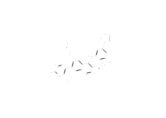 CCCCOc1cc2c(Nc3cc(CO)cc(C4CCCC4)c3)c(S(N)(=O)=O)cnc2cc1-c1cnc(OC)nc1OC